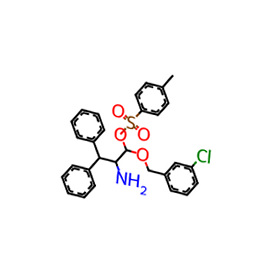 Cc1ccc(S(=O)(=O)OC(OCc2cccc(Cl)c2)C(N)C(c2ccccc2)c2ccccc2)cc1